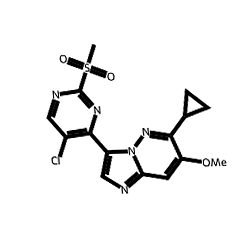 COc1cc2ncc(-c3nc(S(C)(=O)=O)ncc3Cl)n2nc1C1CC1